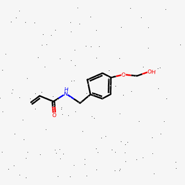 C=CC(=O)NCc1ccc(OCO)cc1